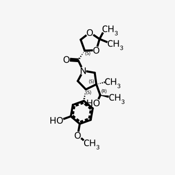 COc1ccc([C@@H]2CN(C(=O)[C@@H]3COC(C)(C)O3)C[C@@]2(C)[C@@H](C)O)cc1O